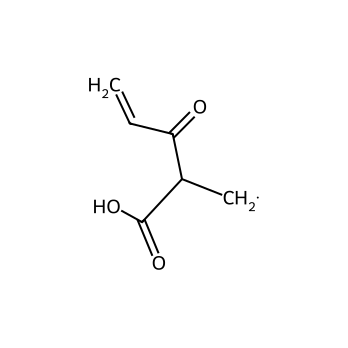 [CH2]C(C(=O)O)C(=O)C=C